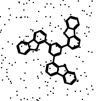 c1ccc2c(c1)oc1c(-c3cc(-c4cccc5c4oc4ccccc45)cc(-c4cccc5c4sc4ccccc45)c3)cccc12